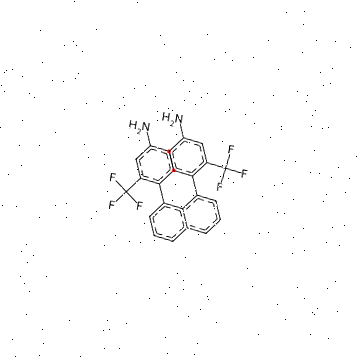 Nc1ccc(-c2cccc3cccc(-c4ccc(N)cc4C(F)(F)F)c23)c(C(F)(F)F)c1